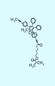 CC#Cc1ccc(C2=C(c3ccccc3)C(c3ccccc3)=C(c3ccc(C#CC(=O)CCCCCOC(=O)C(C)C)cc3)S2(C)C)cc1